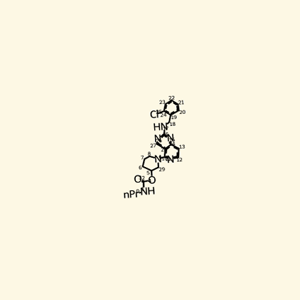 CCCNC(=O)OC1CCCN(c2nccc3nc(NCc4ccccc4Cl)ncc23)C1